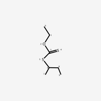 CCOC(=S)SC(C)CC